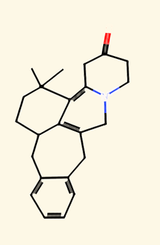 CC1(C)CCC2Cc3ccccc3CC3=C2C1=C1CC(=O)CCN1C3